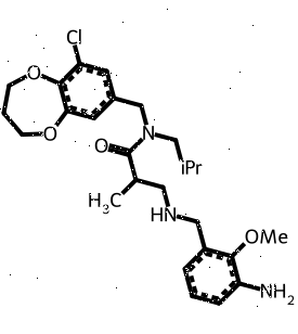 COc1c(N)cccc1CNCC(C)C(=O)N(Cc1cc(Cl)c2c(c1)OCCCO2)CC(C)C